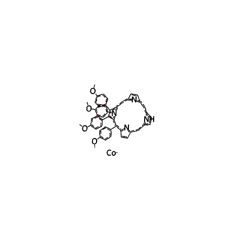 COc1ccc(-c2c(-c3ccc(OC)cc3)c3c(-c4ccc(OC)cc4)c4nc(cc5ccc(cc6nc(cc2n3-c2ccc(OC)cc2)C=C6)[nH]5)C=C4)cc1.[Co]